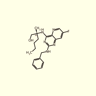 CCCC[C@](C)(CO)Nc1nc(NCc2ccccc2)nc2cc(F)cnc12